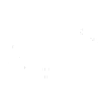 Cl.Cl.NNCCc1ccc(C(F)(F)F)c(F)c1